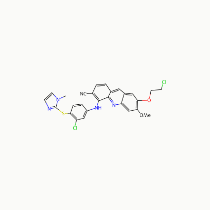 COc1cc2nc3c(Nc4ccc(Sc5nccn5C)c(Cl)c4)c(C#N)ccc3cc2cc1OCCCl